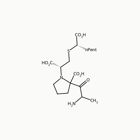 CCCCC[C@H](SC[C@@H](C(=O)O)N1CCCC1(C(=O)O)C(=O)C(C)N)C(=O)O